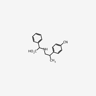 CC(CNC(C(=O)O)c1ccccc1)c1ccc(C#N)cc1